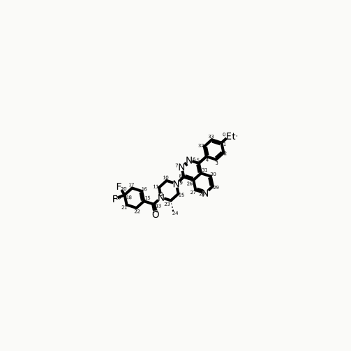 C[CH]c1ccc(-c2nnc(N3CCN(C(=O)C4=CCC(F)(F)CC4)[C@@H](C)C3)c3cnccc23)cc1